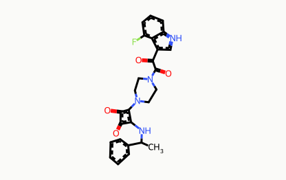 CC(Nc1c(N2CCN(C(=O)C(=O)c3c[nH]c4cccc(F)c34)CC2)c(=O)c1=O)c1ccccc1